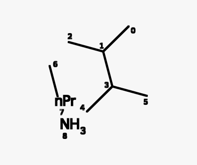 CC(C)C(C)C.CCCC.N